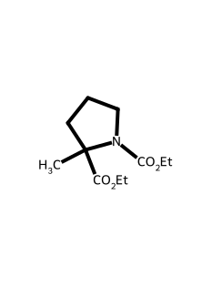 CCOC(=O)N1CCCC1(C)C(=O)OCC